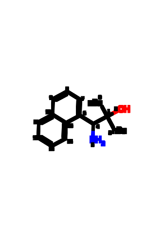 CCCCC(O)(CCCC)C(N)c1cccc2ccccc12